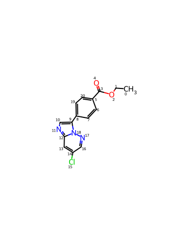 CCOC(=O)c1ccc(-c2cnc3cc(Cl)cnn23)cc1